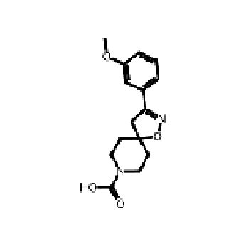 COc1cccc(C2=NOC3(CCN(C(=O)O)CC3)C2)c1